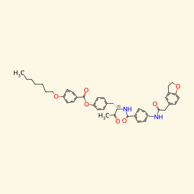 CCCCCCCOc1ccc(C(=O)Oc2ccc(C[C@H](NC(=O)c3ccc(NC(=O)Cc4ccc5c(c4)CCO5)cc3)C(C)=O)cc2)cc1